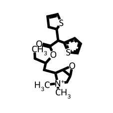 CCC(CC1C2OC2C[N+]1(C)C)OC(=O)C(c1cccs1)C1CC=CS1